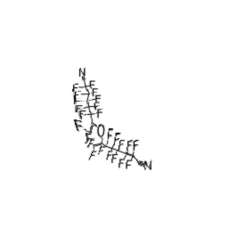 N#CC(F)(F)C(F)(F)C(F)(F)C(F)(F)C(F)(F)C(OC(=C(F)F)C(F)(F)C(F)(F)C(F)(F)C(F)(F)C(F)(F)C#N)=C(F)F